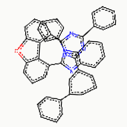 c1ccc(-c2cccc(-c3nc(-c4ccccc4)nc(-c4cccc5oc6cccc(-c7nc8ccccc8n7-c7ccccc7)c6c45)n3)c2)cc1